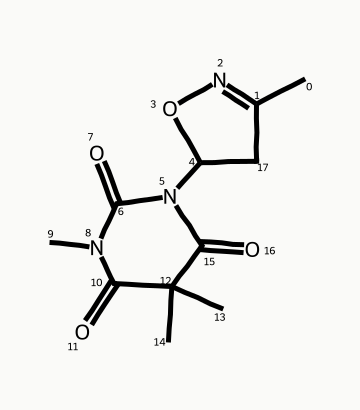 CC1=NOC(N2C(=O)N(C)C(=O)C(C)(C)C2=O)C1